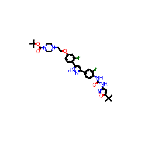 CC(C)(C)OC(=O)N1CCN(CCOc2ccc(-c3cc(-c4ccc(NC(=O)Nc5cc(C(C)(C)C)on5)c(F)c4)n[nH]3)c(F)c2)CC1